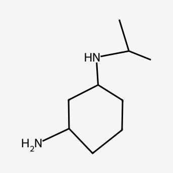 CC(C)NC1CCCC(N)C1